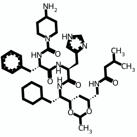 CC(C)CC(=O)NC[C@H]1C[C@@H]([C@H](CC2CCCCC2)NC(=O)[C@H](Cc2c[nH]cn2)NC(=O)[C@H](Cc2ccccc2)NC(=O)N2CCC(N)CC2)OC(C)O1